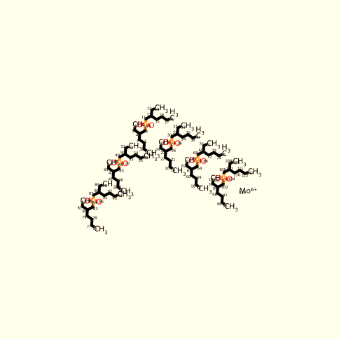 CCCCC(CC)CP(=O)([O-])CC(CC)CCCC.CCCCC(CC)CP(=O)([O-])CC(CC)CCCC.CCCCC(CC)CP(=O)([O-])CC(CC)CCCC.CCCCC(CC)CP(=O)([O-])CC(CC)CCCC.CCCCC(CC)CP(=O)([O-])CC(CC)CCCC.CCCCC(CC)CP(=O)([O-])CC(CC)CCCC.[Mo+6]